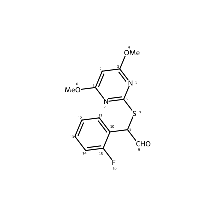 COc1cc(OC)nc(SC(C=O)c2ccccc2F)n1